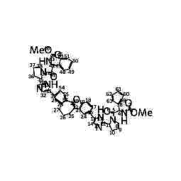 COC(=O)NC(C(=O)N1CCC[C@H]1c1ncc(-c2ccc3oc4c(c3c2)CCCc2cc(-c3cnc([C@@H]5CCCN5C(=O)[C@@H](NC(=O)OC)c5ccccc5)[nH]3)ccc2-4)[nH]1)c1ccccc1